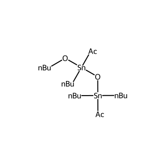 CCCC[O][Sn]([CH2]CCC)([O][Sn]([CH2]CCC)([CH2]CCC)[C](C)=O)[C](C)=O